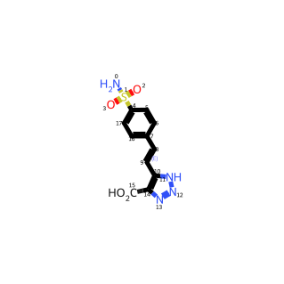 NS(=O)(=O)c1ccc(/C=C/c2[nH]nnc2C(=O)O)cc1